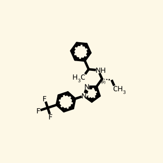 CC[C@@H](NC(C)c1ccccc1)c1ccn(-c2ccc(C(F)(F)F)cc2)n1